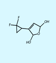 OC1C=C(C2CC2(F)F)C(O)O1